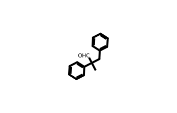 CC(C=O)(Cc1ccccc1)c1ccccc1